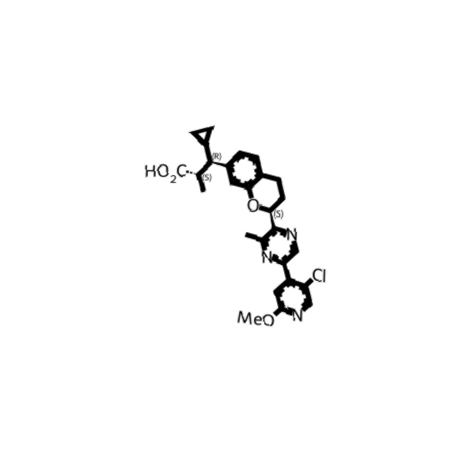 COc1cc(-c2cnc([C@@H]3CCc4ccc([C@H](C5CC5)[C@H](C)C(=O)O)cc4O3)c(C)n2)c(Cl)cn1